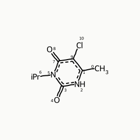 Cc1[nH]c(=O)n(C(C)C)c(=O)c1Cl